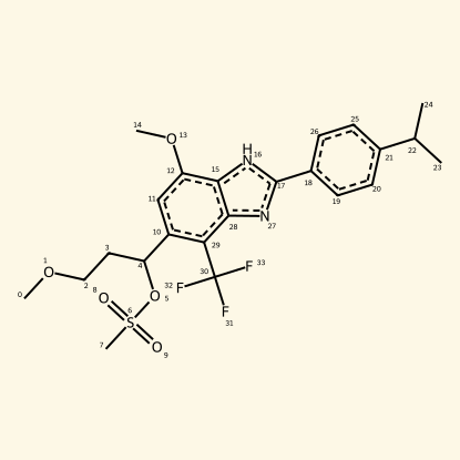 COCCC(OS(C)(=O)=O)c1cc(OC)c2[nH]c(-c3ccc(C(C)C)cc3)nc2c1C(F)(F)F